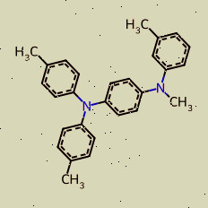 Cc1ccc(N(c2ccc(C)cc2)c2ccc(N(C)c3cccc(C)c3)cc2)cc1